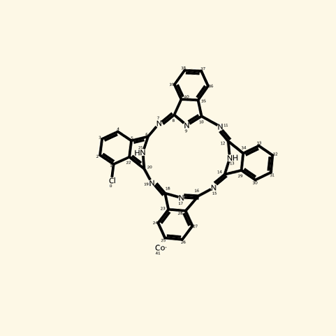 Clc1cccc2c3nc4nc(nc5[nH]c(nc6nc(nc([nH]3)c12)-c1ccccc1-6)c1ccccc51)-c1ccccc1-4.[Co]